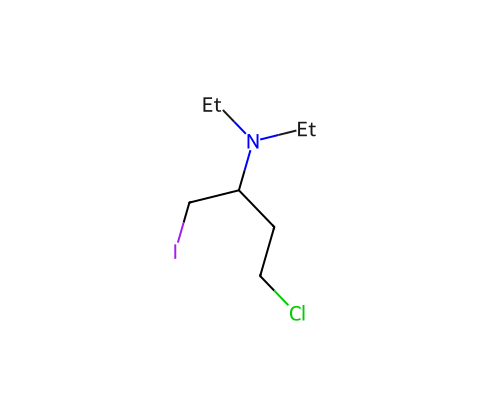 CCN(CC)C(CI)CCCl